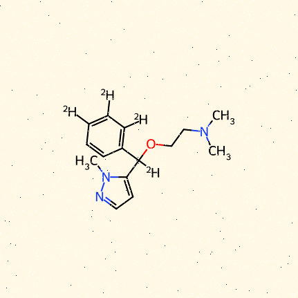 [2H]c1ccc(C([2H])(OCCN(C)C)c2ccnn2C)c([2H])c1[2H]